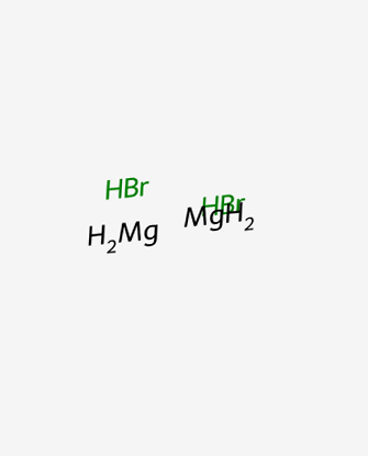 Br.Br.[MgH2].[MgH2]